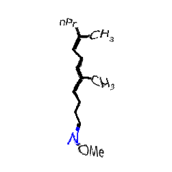 CCC/C(C)=C/CC/C(C)=C/CC/C=N/OC